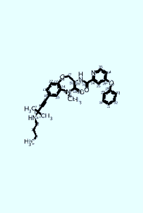 CCCCNC(C)(C)C#Cc1ccc2c(c1)N(C)C(=O)[C@@H](NC(=O)c1cc(Oc3ccccc3)ccn1)CO2